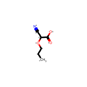 CCCOC(C#N)C([O])=O